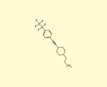 CCCC1CCC(C#Cc2ccc(C(F)(F)C(F)(F)F)cc2)CC1